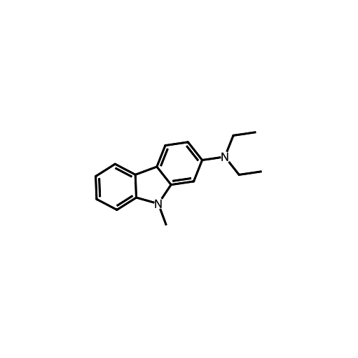 CCN(CC)c1ccc2c3ccccc3n(C)c2c1